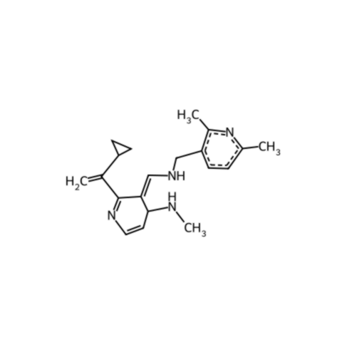 C=C(C1=NC=CC(NC)/C1=C\NCc1ccc(C)nc1C)C1CC1